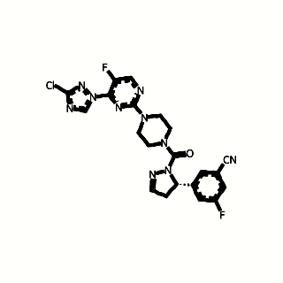 N#Cc1cc(F)cc([C@@H]2CC=NN2C(=O)N2CCN(c3ncc(F)c(-n4cnc(Cl)n4)n3)CC2)c1